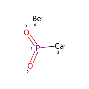 O=[P](=O)[Ca].[Be]